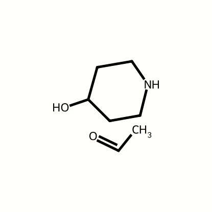 CC=O.OC1CCNCC1